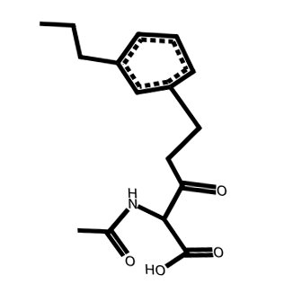 CCCc1cccc(CCC(=O)C(NC(C)=O)C(=O)O)c1